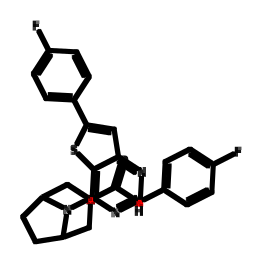 O=C(Nc1ccc(F)cc1)N1CC2CCC(C1)N2c1ncnc2cc(-c3ccc(F)cc3)sc12